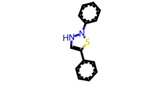 C1=C(c2ccccc2)SN(c2ccccc2)N1